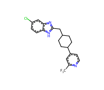 FC(F)(F)c1cc(C2CCC(Cc3nc4cc(Cl)ccc4[nH]3)CC2)ccn1